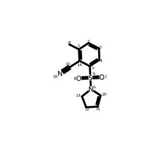 Cc1cccc(S(=O)(=O)N2C=CCC2)c1C#N